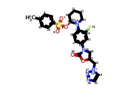 Cc1ccc(S(=O)(=O)O[C@H]2CCCCN2c2ccc(N3CC(C[N+]4C=CN=N4)OC3=O)cc2F)cc1